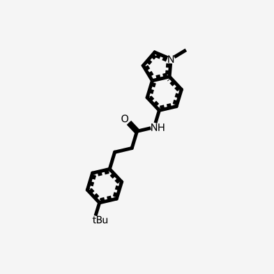 Cn1ccc2cc(NC(=O)CCc3ccc(C(C)(C)C)cc3)ccc21